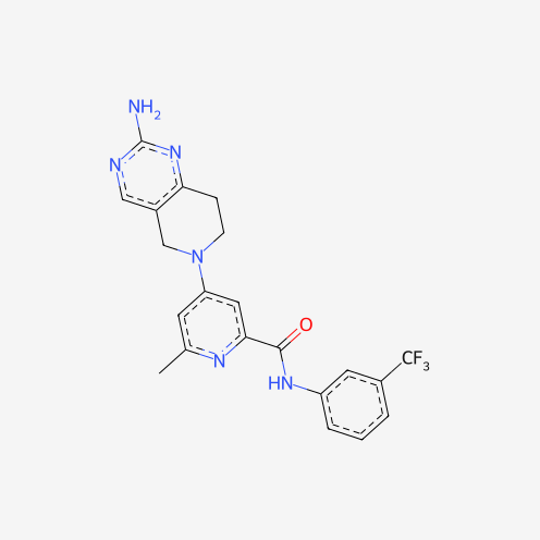 Cc1cc(N2CCc3nc(N)ncc3C2)cc(C(=O)Nc2cccc(C(F)(F)F)c2)n1